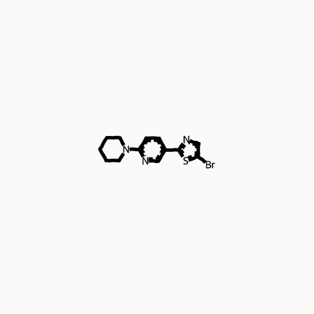 Brc1cnc(-c2ccc(N3CCCCC3)nc2)s1